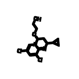 OCCOC1CC(C2CC2)N=C2C(Cl)=CC(Cl)=CN21